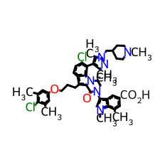 Cc1cc(OCCCc2c3n(c4c(-c5c(C)nn(CC6CCN(C)CC6)c5C)c(Cl)ccc24)[C@H](C)CN(c2cn(C)c4c(C)cc(C(=O)O)cc24)C3=O)cc(C)c1Cl